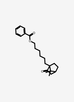 CC1(C)C2CCC1(CCCCCCOC(=O)c1ccccc1)C(=O)C2